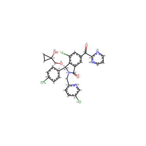 O=C(c1cc(F)c2c(c1)C(=O)N(Cc1ccc(Cl)cn1)[C@@]2(OCC1(O)CC1)c1ccc(Cl)cc1)c1ncccn1